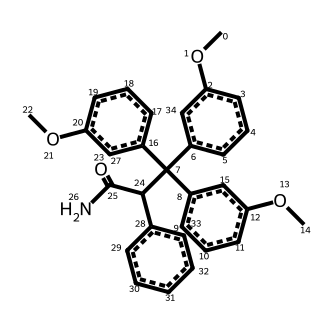 COc1cccc(C(c2cccc(OC)c2)(c2cccc(OC)c2)C(C(N)=O)c2ccccc2)c1